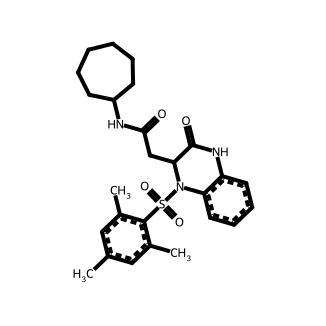 Cc1cc(C)c(S(=O)(=O)N2c3ccccc3NC(=O)C2CC(=O)NC2CCCCCC2)c(C)c1